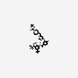 COc1c(NC(=O)c2ccc(C)c(Oc3cc(CC4CCCN(C(=O)OC(C)(C)C)CC4)ncn3)c2)cc(C(C)(C)C)cc1NS(C)(=O)=O